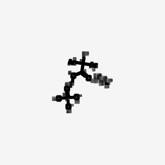 CC(=O)C(F)(C(C)=O)C(=O)OF.O=P([O-])([O-])[O-].[Li+].[Li+].[Li+]